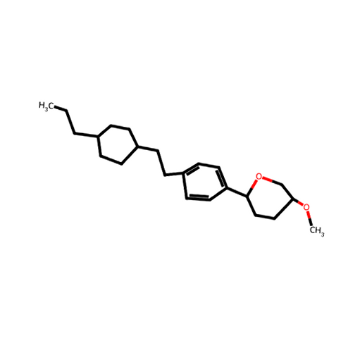 CCCC1CCC(CCc2ccc(C3CCC(OC)CO3)cc2)CC1